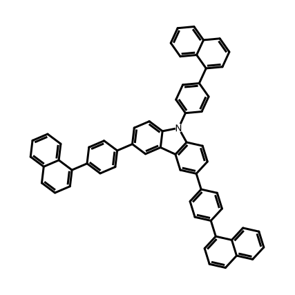 c1ccc2c(-c3ccc(-c4ccc5c(c4)c4cc(-c6ccc(-c7cccc8ccccc78)cc6)ccc4n5-c4ccc(-c5cccc6ccccc56)cc4)cc3)cccc2c1